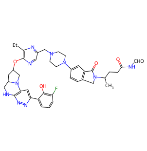 CCc1nc(CN2CCN(c3ccc4c(c3)C(=O)N(C(C)CCC(=O)NC=O)C4)CC2)cnc1OC1CC2CNc3nnc(-c4cccc(F)c4O)cc3N2C1